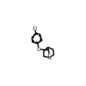 Clc1ccc(OC2CN3CCC2CC3)cc1